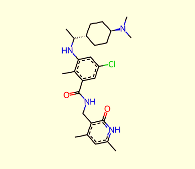 Cc1cc(C)c(CNC(=O)c2cc(Cl)cc(NC(C)[C@H]3CC[C@H](N(C)C)CC3)c2C)c(=O)[nH]1